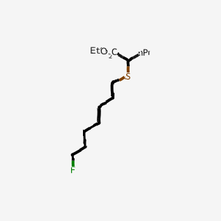 CCCC(SCCCCCCCF)C(=O)OCC